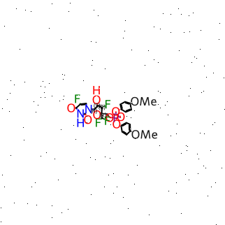 COc1ccc(OP(=O)(OC[C@@]2(C(F)F)O[C@@H](n3cc(F)c(=O)[nH]c3=O)[C@H](O)[C@H]2F)Oc2ccc(OC)cc2)cc1